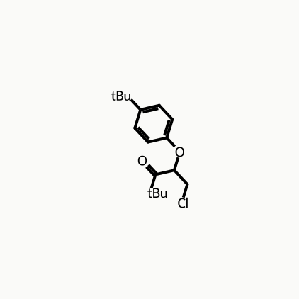 CC(C)(C)C(=O)C(CCl)Oc1ccc(C(C)(C)C)cc1